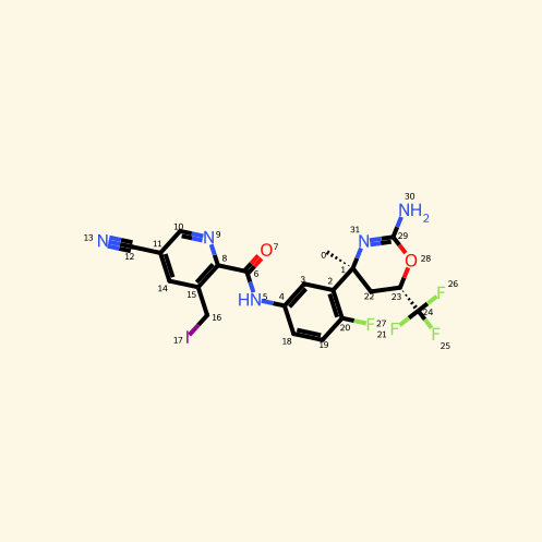 C[C@@]1(c2cc(NC(=O)c3ncc(C#N)cc3CI)ccc2F)C[C@@H](C(F)(F)F)OC(N)=N1